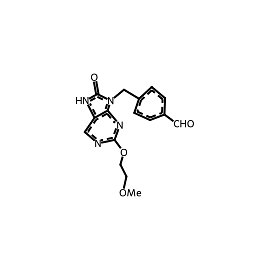 COCCOc1ncc2[nH]c(=O)n(Cc3ccc(C=O)cc3)c2n1